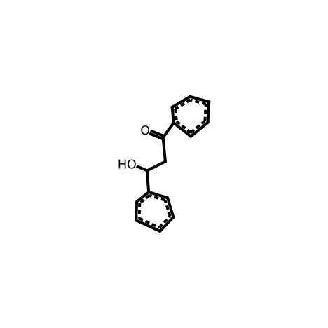 O=C(CC(O)c1ccccc1)c1ccccc1